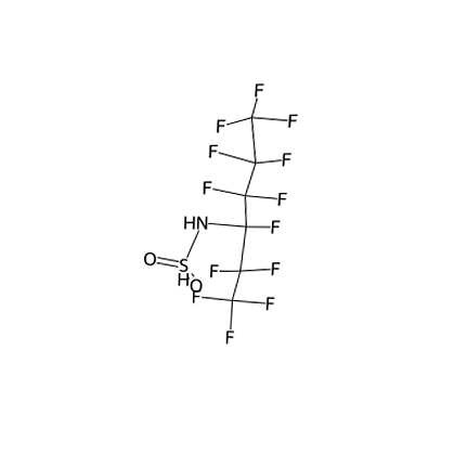 O=[SH](=O)NC(F)(C(F)(F)C(F)(F)F)C(F)(F)C(F)(F)C(F)(F)F